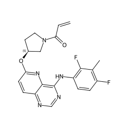 C=CC(=O)N1CC[C@H](Oc2ccc3ncnc(Nc4ccc(F)c(C)c4F)c3n2)C1